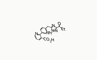 CCCn1nc(C(=O)CC)nc1Cc1ccc(-c2ncccc2C(=O)O)cc1